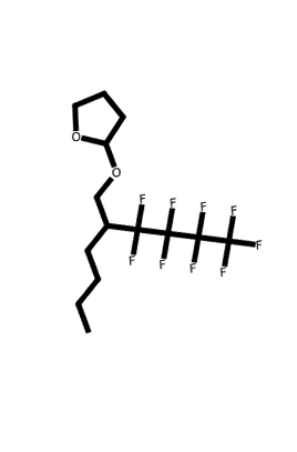 CCCCC(COC1CCCO1)C(F)(F)C(F)(F)C(F)(F)C(F)(F)F